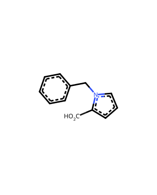 O=C(O)c1cccn1Cc1ccccc1